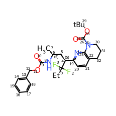 [CH2]CC(F)(F)[C@@H](C[C@H](C)NC(=O)OCc1ccccc1)c1ccc2c(n1)N(C(=O)OC(C)(C)C)CCC2